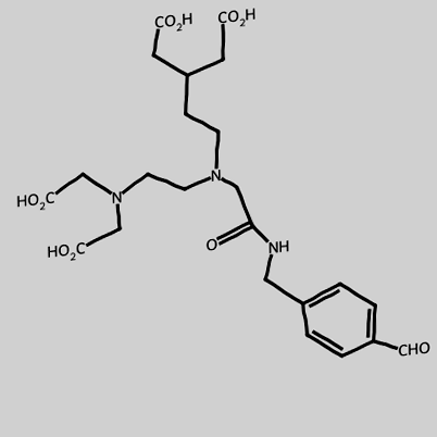 O=Cc1ccc(CNC(=O)CN(CCC(CC(=O)O)CC(=O)O)CCN(CC(=O)O)CC(=O)O)cc1